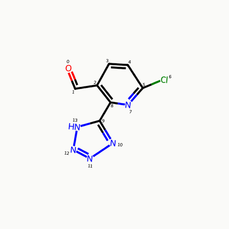 O=Cc1ccc(Cl)nc1-c1nnn[nH]1